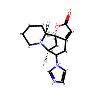 O=C1C=C2CC(n3ccnc3)[C@@H]3C[C@@]2(O1)[C@H]1CCCCN31